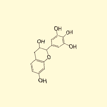 Oc1ccc2c(c1)OC(c1cc(O)c(O)c(O)c1)C(O)C2